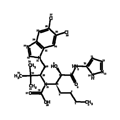 CCCC[C@@H]([C@@H](O)C(=O)Nc1ccn[nH]1)N(C(=O)O)C(Cn1cnc2cc(Cl)c(Cl)cc21)C(C)(C)C